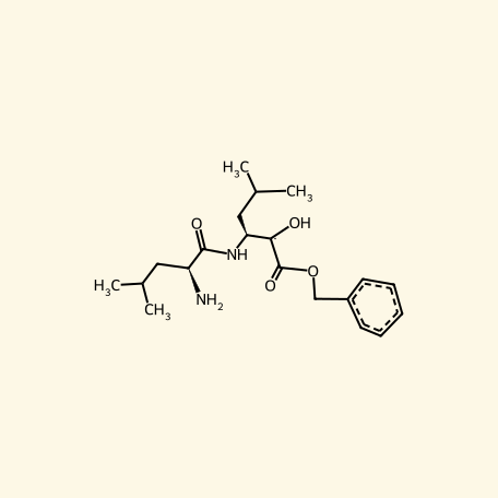 CC(C)C[C@H](NC(=O)[C@@H](N)CC(C)C)[C](O)C(=O)OCc1ccccc1